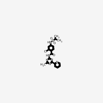 Cc1nc(NC(=O)c2ccc(NS(=O)(=O)C(C)C)cc2Cl)nc(-c2ccccn2)n1